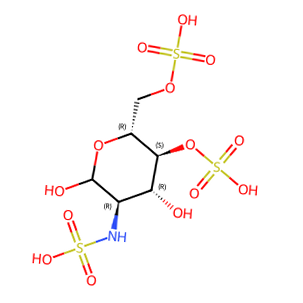 O=S(=O)(O)N[C@H]1C(O)O[C@H](COS(=O)(=O)O)[C@@H](OS(=O)(=O)O)[C@@H]1O